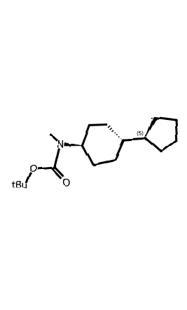 CN(C(=O)OC(C)(C)C)[C@H]1CC[C@H]([C@H]2[CH]CCC2)CC1